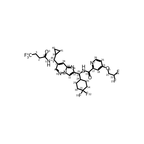 O=C(CCC(F)(F)F)N[C@@H](c1cnn2cc([C@@H](NC(=O)c3cc(OCC(F)F)ccn3)C3CCC(F)(F)CC3)nc2c1)C1CC1